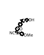 COc1ccc(-n2nc(C#N)c3c2C(=O)N(c2ccc(C4(CN5CC[C@@H](O)C5)CC4)cc2)CC3)cc1